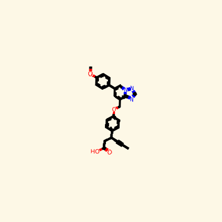 CC#CC(CC(=O)O)c1ccc(OCc2cc(-c3ccc(OC)cc3)cn3ncnc23)cc1